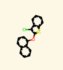 Clc1c(Oc2cccc3ccccc23)sc2ccccc12